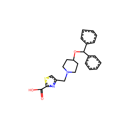 O=C(O)c1nc(CN2CCC(OC(c3ccccc3)c3ccccc3)CC2)cs1